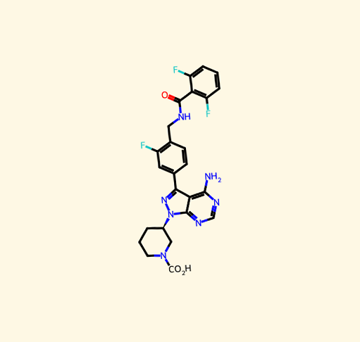 Nc1ncnc2c1c(-c1ccc(CNC(=O)c3c(F)cccc3F)c(F)c1)nn2[C@@H]1CCCN(C(=O)O)C1